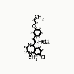 C=CCOc1cccc(/C=C/C2=NCCN(C)c3cc(Cl)ccc32)c1.Cl.Cl